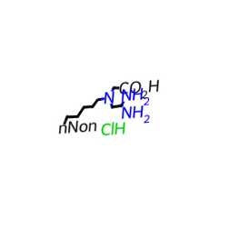 CCCCCCCCCCCCCCN(CC(=O)O)CC(N)N.Cl